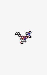 c1ccc(-c2ccccc2-c2c(-c3ccccc3)cccc2N(c2ccc(-c3ccc4c(ccc5ccccc54)c3)cc2)c2cccc(-c3cccc4c5ccccc5n(-c5ccccc5)c34)c2)cc1